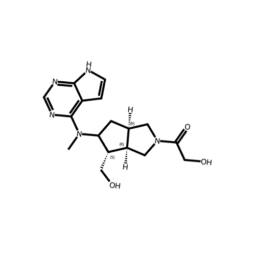 CN(c1ncnc2[nH]ccc12)C1C[C@H]2CN(C(=O)CO)C[C@H]2[C@@H]1CO